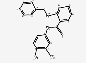 CCCc1ccc(NC(=O)c2cccnc2NCc2ccncc2)cc1C(F)(F)F